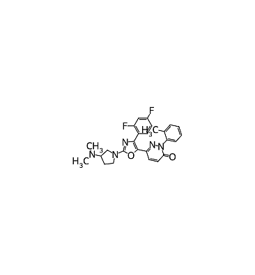 Cc1ccccc1-n1nc(-c2oc(N3CCC(N(C)C)C3)nc2-c2ccc(F)cc2F)ccc1=O